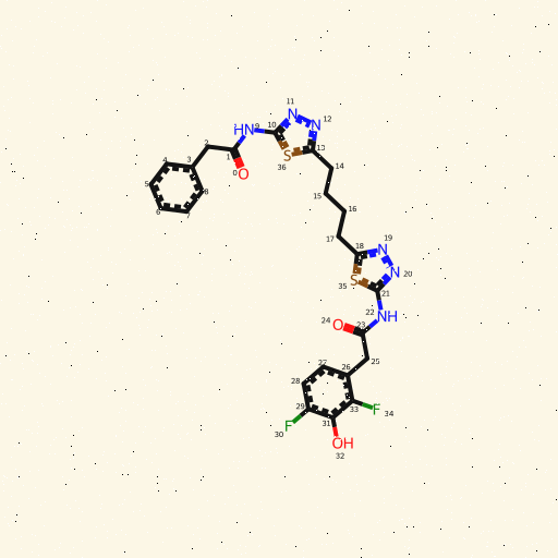 O=C(Cc1ccccc1)Nc1nnc(CCCCc2nnc(NC(=O)Cc3ccc(F)c(O)c3F)s2)s1